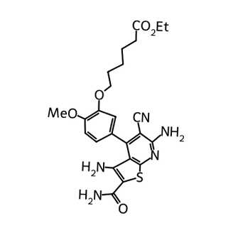 CCOC(=O)CCCCCOc1cc(-c2c(C#N)c(N)nc3sc(C(N)=O)c(N)c23)ccc1OC